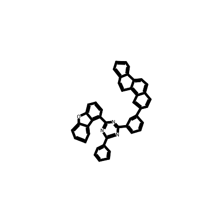 c1ccc(-c2nc(-c3cccc(-c4ccc5ccc6c7ccccc7ccc6c5c4)c3)nc(-c3cccc4oc5ccccc5c34)n2)cc1